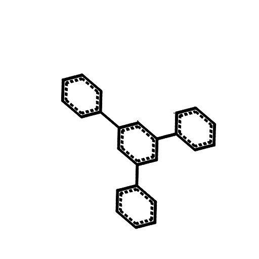 [c]1ccccc1-c1[c]c(-c2ccccc2)cc(-c2ccccc2)c1